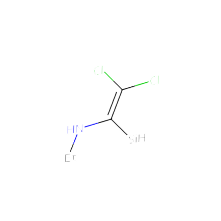 CCNC([SiH3])=C(Cl)Cl